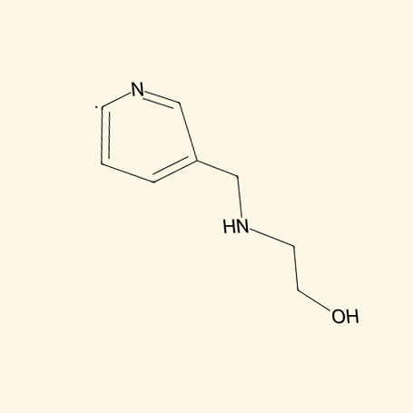 OCCNCc1cc[c]nc1